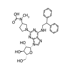 CN(C(=O)O)C1CCN(c2nc(NCC(c3ccccc3)c3ccccc3)c3ncn([C@@H]4O[C@H](CO)[C@@H](O)[C@@H]4O)c3n2)C1